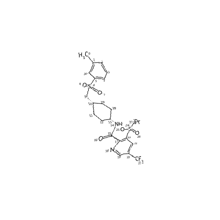 Cc1cccc(S(=O)(=O)C[C@H]2CC[C@@H](NC(=O)c3ncc(C(F)(F)F)cc3S(=O)(=O)C(C)C)CC2)c1